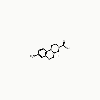 Nc1ccc2c(c1)OC[C@@H]1CN(C(=O)O)CCN21